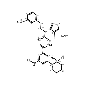 CCNc1cc(C(=O)N[C@@H](Cc2ccsc2)[C@@H](O)CNCc2cccc(OC)c2)cc(N2CCCCS2(O)O)c1.Cl